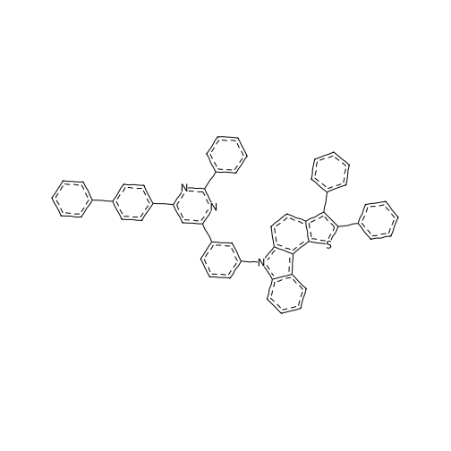 c1ccc(-c2ccc(-c3cc(-c4cccc(-n5c6ccccc6c6c7sc(-c8ccccc8)c(-c8ccccc8)c7ccc65)c4)nc(-c4ccccc4)n3)cc2)cc1